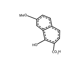 COc1ccc2ccc(C(=O)O)c(O)c2c1